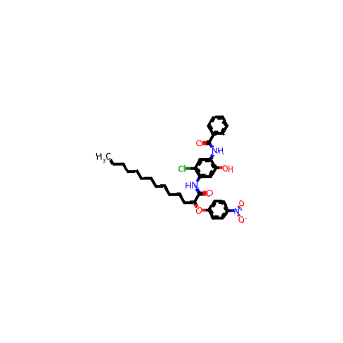 CCCCCCCCCCCCC(Oc1ccc([N+](=O)[O-])cc1)C(=O)Nc1cc(O)c(NC(=O)c2ccccc2)cc1Cl